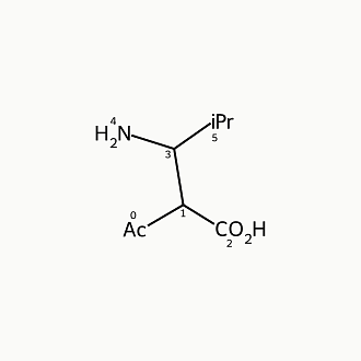 CC(=O)C(C(=O)O)C(N)C(C)C